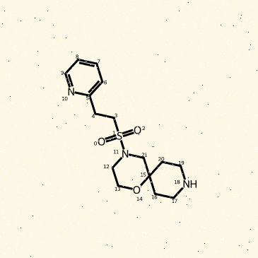 O=S(=O)(CCc1ccccn1)N1CCOC2(CCNCC2)C1